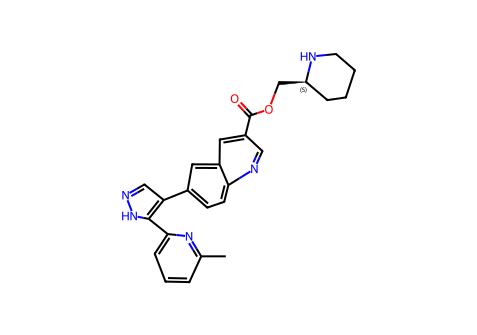 Cc1cccc(-c2[nH]ncc2-c2ccc3ncc(C(=O)OC[C@@H]4CCCCN4)cc3c2)n1